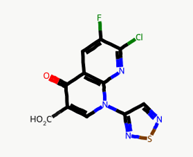 O=C(O)c1cn(-c2cnsn2)c2nc(Cl)c(F)cc2c1=O